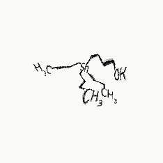 CCC[CH2][Sn](/[CH]=C\CCO)([CH2]CCC)[CH2]CCC